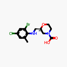 Cc1cc(Cl)cc(Br)c1NC[C@@H]1CN(C(=O)O)CCO1